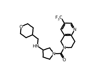 O=C(N1CCc2ncc(C(F)(F)F)cc2C1)N1CCC(NCC2CCOCC2)C1